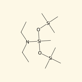 CCN(CC)[Si](C)(O[Si](C)(C)C)O[Si](C)(C)C